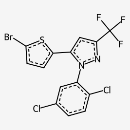 FC(F)(F)c1cc(-c2ccc(Br)s2)n(-c2cc(Cl)ccc2Cl)n1